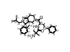 CC(C)(N)C(=O)N[C@H](COc1ccccc1)C(=O)N1CCC2=NN(CC(F)F)C(=O)[C@]2(Cc2ccccc2)C1